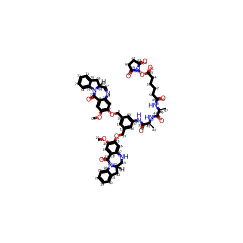 COc1cc2c(cc1OCc1cc(COc3cc4c(cc3OC)C(=O)N3c5ccccc5C[C@H]3CN4)cc(NC(=O)[C@H](C)NC(=O)[C@H](C)NC(=O)CCCCC(=O)ON3C(=O)CCC3=O)c1)N=C[C@H]1Cc3ccccc3N1C2=O